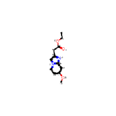 CCOC(=O)Cc1cn2ccc(OC)cc2n1